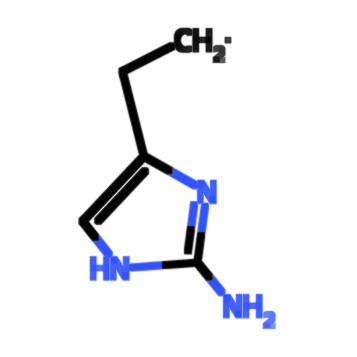 [CH2]Cc1c[nH]c(N)n1